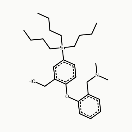 CCC[CH2][Sn]([CH2]CCC)([CH2]CCC)[c]1ccc(Oc2ccccc2CN(C)C)c(CO)c1